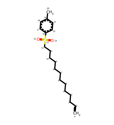 C=CCCCCCCCCCCCS(=O)(=O)c1ccc(C)cc1